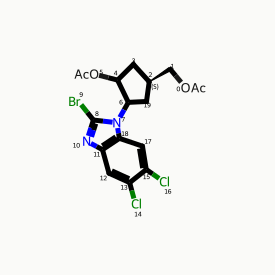 CC(=O)OC[C@@H]1CC(OC(C)=O)C(n2c(Br)nc3cc(Cl)c(Cl)cc32)C1